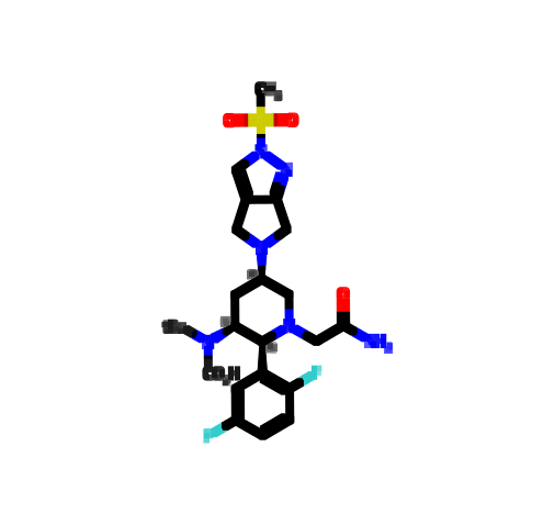 CC(C)(C)N(C(=O)O)[C@H]1C[C@@H](N2Cc3cn(S(C)(=O)=O)nc3C2)CN(CC(N)=O)[C@H]1c1cc(F)ccc1F